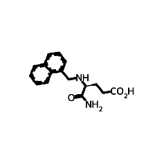 NC(=O)[C@H](CCC(=O)O)NCc1cccc2ccccc12